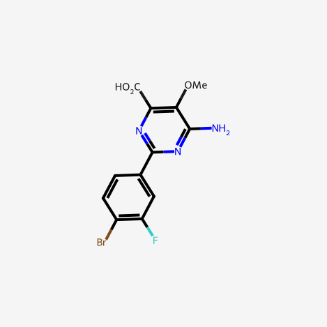 COc1c(N)nc(-c2ccc(Br)c(F)c2)nc1C(=O)O